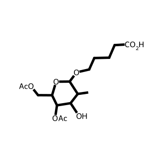 CC(=O)OCC1OC(OCCCCC(=O)O)C(C)C(O)C1OC(C)=O